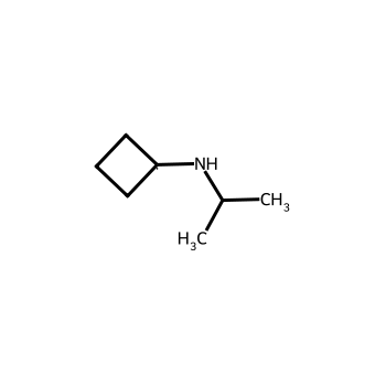 CC(C)N[C]1CCC1